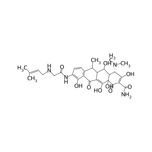 CC(C)=CCNCC(=O)Nc1ccc2c(c1O)C(=O)C1=C(O)C3(O)C(=O)C(C(N)=O)=C(O)[C@@H](N(C)C)C3C(O)C1C2C